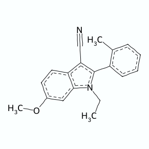 CCn1c(-c2ccccc2C)c(C#N)c2ccc(OC)cc21